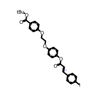 CC(C)(C)OC(=O)c1ccc(OCCOc2ccc(OC(=O)/C=C/c3ccc(I)cc3)cc2)cc1